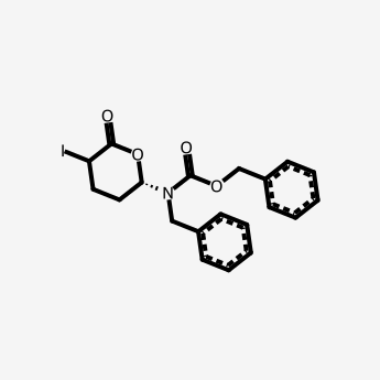 O=C1O[C@H](N(Cc2ccccc2)C(=O)OCc2ccccc2)CCC1I